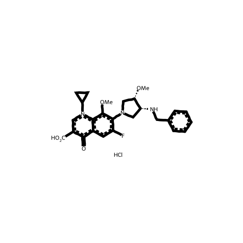 COc1c(N2C[C@H](OC)[C@H](NCc3ccccc3)C2)c(F)cc2c(=O)c(C(=O)O)cn(C3CC3)c12.Cl